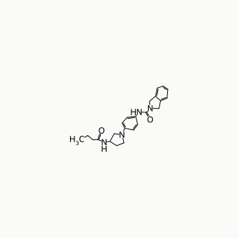 CCCC(=O)NC1CCN(c2ccc(NC(=O)N3Cc4ccccc4C3)cc2)C1